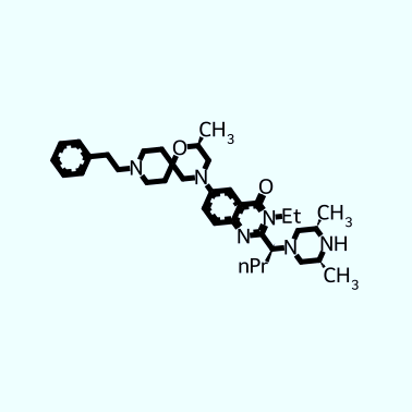 CCC[C@@H](c1nc2ccc(N3C[C@H](C)OC4(CCN(CCc5ccccc5)CC4)C3)cc2c(=O)n1CC)N1C[C@@H](C)N[C@@H](C)C1